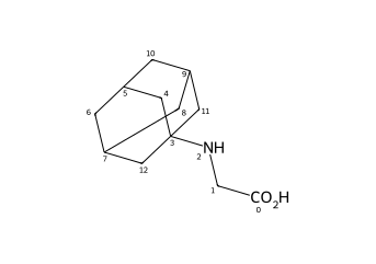 O=C(O)CNC12CC3CC(CC(C3)C1)C2